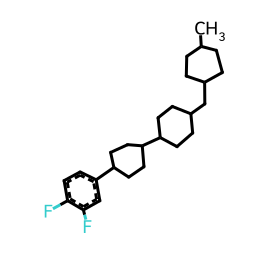 CC1CCC(CC2CCC(C3CCC(c4ccc(F)c(F)c4)CC3)CC2)CC1